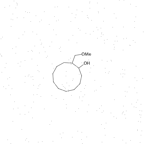 COCC1CCCCCCCCCC1O